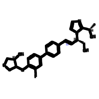 C[C@H](O)c1nccn1[C@@H](/C=C/c1ccc(-c2ccc(OC3COC[C@H]3O)c(F)c2)cc1)CO